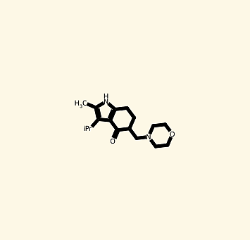 Cc1[nH]c2c(c1C(C)C)C(=O)C(CN1CCOCC1)CC2